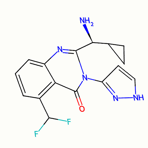 N[C@H](c1nc2cccc(C(F)F)c2c(=O)n1-c1cc[nH]n1)C1CC1